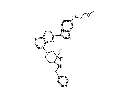 COCCOc1ccn2c(-c3ccc4cccc(N5CCC(NCc6ccccc6)C(F)(F)C5)c4n3)cnc2c1